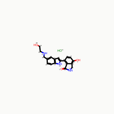 Cl.O=C1NCc2c(O)ccc(-c3cc4cc(CNCCO)ccc4[nH]3)c21